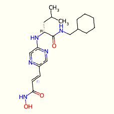 CC(C)C[C@@H](Nc1cnc(/C=C/C(=O)NO)cn1)C(=O)NCC1CCCCC1